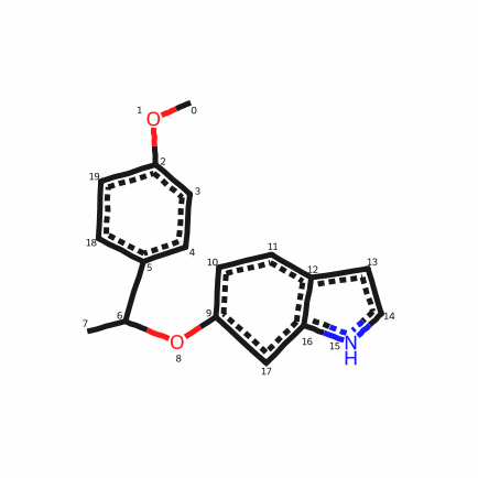 COc1ccc(C(C)Oc2ccc3cc[nH]c3c2)cc1